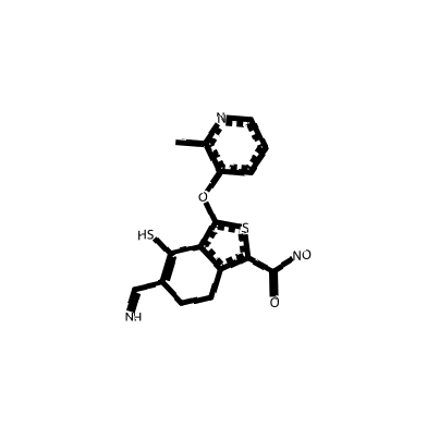 Cc1ncccc1Oc1sc(C(=O)N=O)c2c1C(S)=C(C=N)CC2